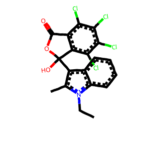 CCn1c(C)c(C2(O)OC(=O)c3c(Cl)c(Cl)c(Cl)c(Cl)c32)c2ccccc21